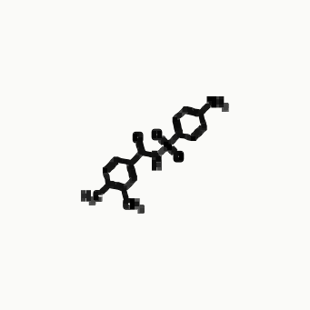 Cc1ccc(C(=O)NS(=O)(=O)c2ccc(N)cc2)cc1C